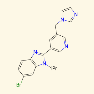 CC(C)n1c(-c2cncc(Cn3ccnc3)c2)nc2ccc(Br)cc21